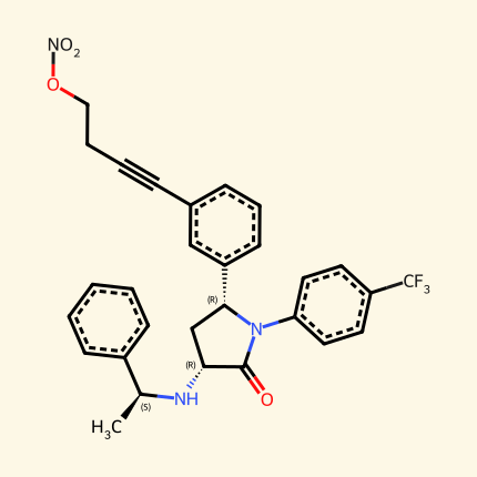 C[C@H](N[C@@H]1C[C@H](c2cccc(C#CCCO[N+](=O)[O-])c2)N(c2ccc(C(F)(F)F)cc2)C1=O)c1ccccc1